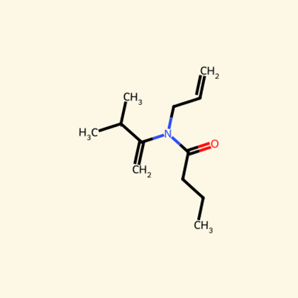 C=CCN(C(=C)[C](C)C)C(=O)CCC